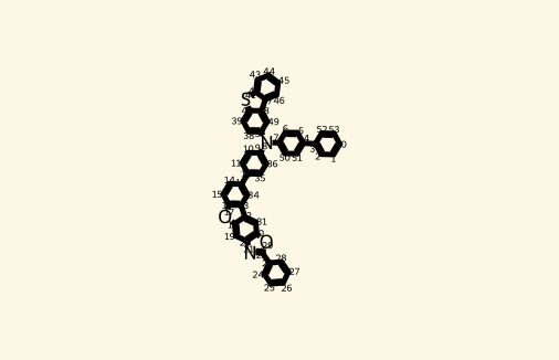 c1ccc(-c2ccc(N(c3ccc(-c4ccc5oc6cc7nc(-c8ccccc8)oc7cc6c5c4)cc3)c3ccc4sc5ccccc5c4c3)cc2)cc1